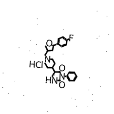 Cl.O=C1NCC(C2CCN(CC3COC(c4ccc(F)cc4)C3)CC2)C(=O)N1c1ccccc1